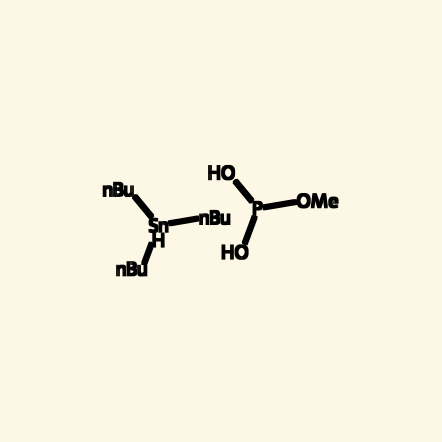 CCC[CH2][SnH]([CH2]CCC)[CH2]CCC.COP(O)O